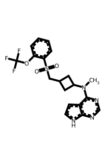 CN(c1ncnc2[nH]ccc12)C1CC(CS(=O)(=O)c2ccccc2OC(F)(F)F)C1